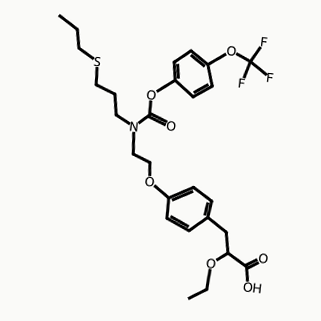 CCCSCCCN(CCOc1ccc(CC(OCC)C(=O)O)cc1)C(=O)Oc1ccc(OC(F)(F)F)cc1